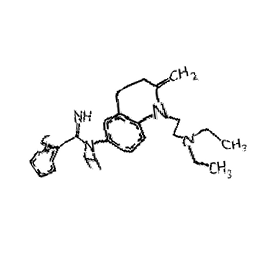 C=C1CCc2cc(NC(=N)c3cccs3)ccc2N1CCN(CC)CC